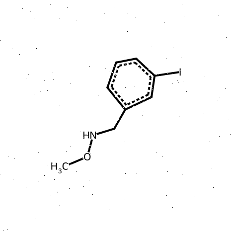 CONCc1cccc(I)c1